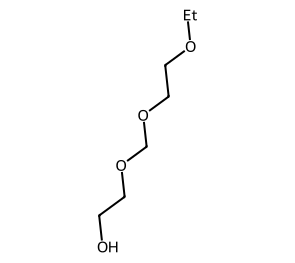 CCOCCOCOCCO